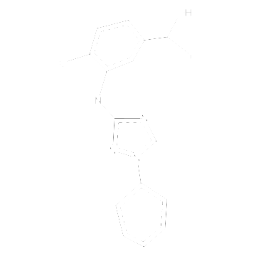 Cc1ccc(C(C)O)cc1Nc1ncn(-c2ccccc2)n1